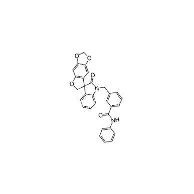 O=C(Nc1ccccc1)c1cccc(CN2C(=O)C3(COc4cc5c(cc43)OCO5)c3ccccc32)c1